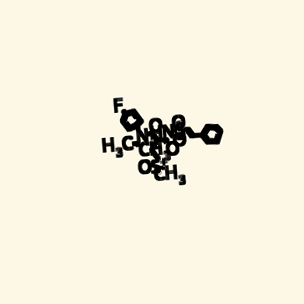 CC(C)N(C(=O)C(CC[S+](C)[O-])C(=O)NS(=O)(=O)C=Cc1ccccc1)c1ccc(F)cc1